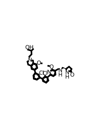 COc1cc(-c2cccc(-c3cccc(-c4ccc(CNC[C@H]5CCC(=O)N5)c(OC)n4)c3Cl)c2Cl)cc2c1CN(CCC(C)CO)CC2